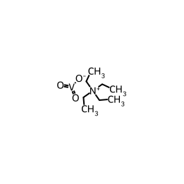 CC[N+](CC)(CC)CC.[O]=[V](=[O])[O-]